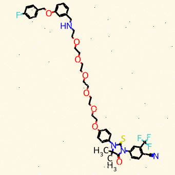 CC1(C)C(=O)N(c2ccc(C#N)c(C(F)(F)F)c2)C(=S)N1c1ccc(OCCOCCOCCOCCOCCOCCNCc2cccc(OCc3ccc(F)cc3)c2)cc1